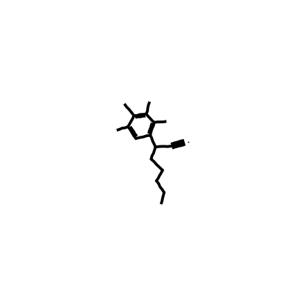 [C]#CC(CCCCC)c1cc(C)c(C)c(C)c1C